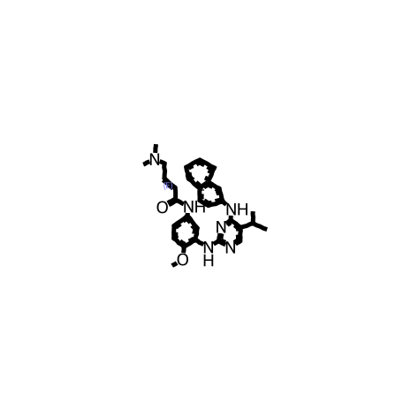 COc1ccc(NC(=O)/C=C/CN(C)C)cc1Nc1ncc(C(C)C)c(Nc2ccc3ccccc3c2)n1